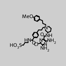 COc1ccc(CCC[N+]2(CCCc3ccc(C(=O)NCCCS(=O)(=O)O)cc3)CCCC(NC(=O)c3nc(Cl)c(N)nc3N)C2)cc1